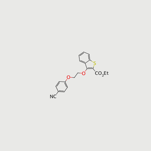 CCOC(=O)c1sc2ccccc2c1OCCOc1ccc(C#N)cc1